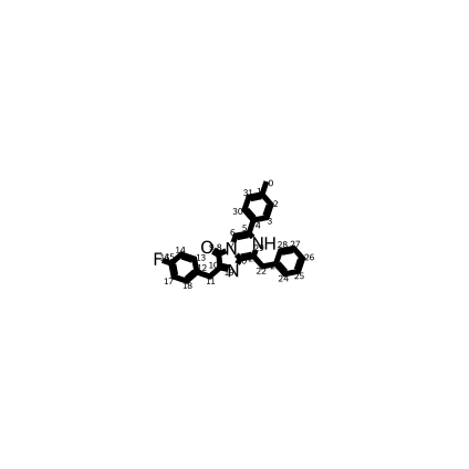 Cc1ccc(-c2cn3c(=O)c(Cc4ccc(F)cc4)nc-3c(Cc3ccccc3)[nH]2)cc1